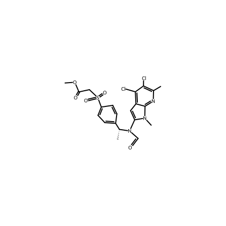 COC(=O)CS(=O)(=O)c1ccc([C@@H](C)N(C=O)c2cc3c(Cl)c(Cl)c(C)nc3n2C)cc1